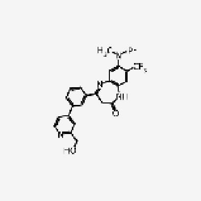 CC(C)N(C)c1cc2c(cc1C(F)(F)F)NC(=O)CC(c1cccc(-c3ccnc(CO)c3)c1)=N2